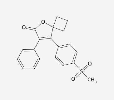 CS(=O)(=O)c1ccc(C2=C(c3ccccc3)C(=O)OC23CCC3)cc1